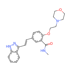 CNC(=O)c1cc(C=Cc2n[nH]c3ccccc23)ccc1OCCN1CCOCC1